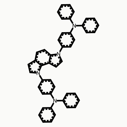 c1ccc(N(c2ccccc2)c2ccc(-n3ccc4c3ccc3ccn(-c5ccc(N(c6ccccc6)c6ccccc6)cc5)c34)cc2)cc1